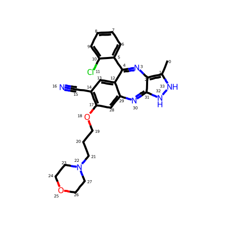 CC1=C2N=C(c3ccccc3Cl)c3cc(C#N)c(OCCCN4CCOCC4)cc3N=C2NN1